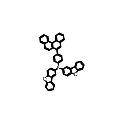 c1ccc2c(c1)ccc1c(-c3ccc(N(c4ccc5oc6ccccc6c5c4)c4ccc5oc6ccccc6c5c4)cc3)cc3ccccc3c12